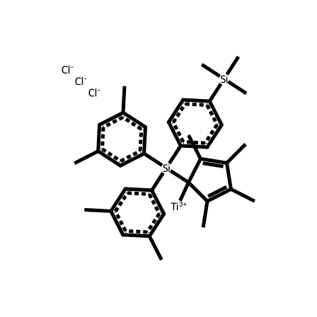 CC1=C(C)[C]([Ti+3])([Si](c2ccc([Si](C)(C)C)cc2)(c2cc(C)cc(C)c2)c2cc(C)cc(C)c2)C(C)=C1C.[Cl-].[Cl-].[Cl-]